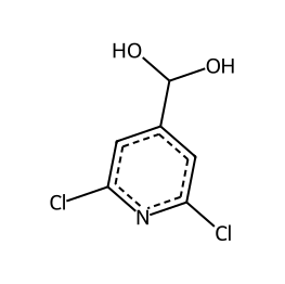 OC(O)c1cc(Cl)nc(Cl)c1